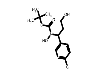 CC(C)(C)OC(=O)N(O)C(CCO)c1ccc(Cl)nc1